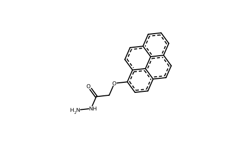 NNC(=O)COc1ccc2ccc3cccc4ccc1c2c34